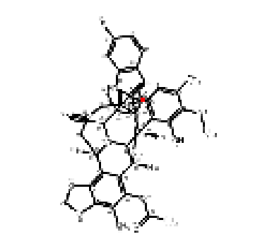 COc1c(C)cc2c(c1O)[C@@H]1C3[C@@H]4SC[C@]5(NCCc6c5[nH]c5cc(F)ccc65)C(=O)COC[C@@H](c5c6c(c(C)c(OC(C)=O)c54)OCO6)N3[C@@H](C#N)[C@H](C2)N1C